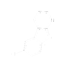 Clc1ccc2oc3ncccc3c2c1